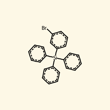 Brc1cccc([Si](c2ccccc2)(c2ccccc2)c2ccccc2)c1